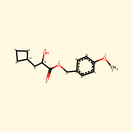 COc1ccc(COC(=O)C(O)CC2CCC2)cc1